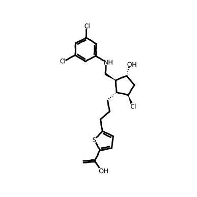 C=C(O)c1ccc(CCC[C@@H]2[C@@H](CNc3cc(Cl)cc(Cl)c3)[C@H](O)C[C@H]2Cl)s1